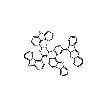 c1ccc2cc3c(cc2c1)c1ccccc1n3-c1ccc(C2N=C(c3cccc4oc5ccccc5c34)N=C(c3cccc4oc5ccccc5c34)N2)c(-c2cccc3c2oc2ccccc23)c1